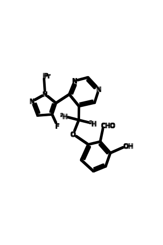 [2H]C([2H])(Oc1cccc(O)c1C=O)c1cncnc1-c1c(F)cnn1C(C)C